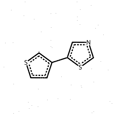 [c]1sccc1-c1cncs1